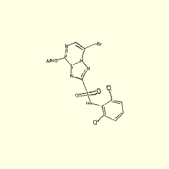 COc1ncc(Br)n2nc(S(=O)(=O)Nc3c(Cl)cccc3Cl)nc12